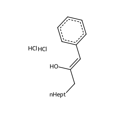 CCCCCCCCC(O)=Cc1ccccc1.Cl.Cl